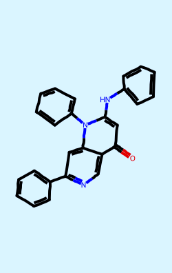 O=c1cc(Nc2ccccc2)n(-c2ccccc2)c2cc(-c3ccccc3)ncc12